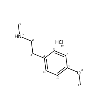 CNCCc1ccc(OC)cc1.Cl